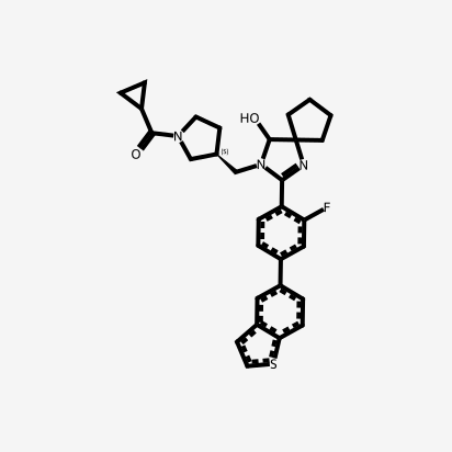 O=C(C1CC1)N1CC[C@@H](CN2C(c3ccc(-c4ccc5sccc5c4)cc3F)=NC3(CCCC3)C2O)C1